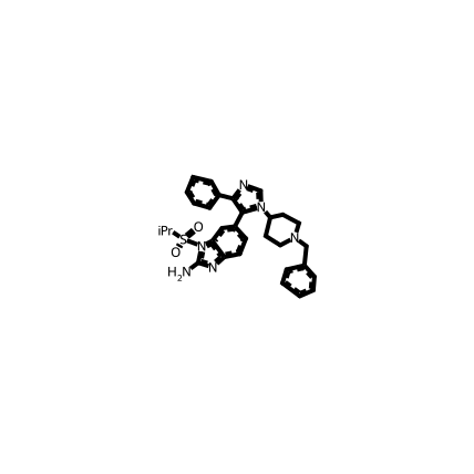 CC(C)S(=O)(=O)n1c(N)nc2ccc(-c3c(-c4ccccc4)ncn3C3CCN(Cc4ccccc4)CC3)cc21